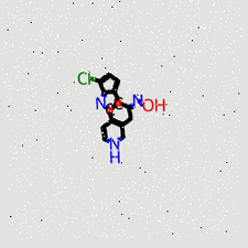 ON=C1CC2=C(C=CNC2)C23CCC12C1=CC=C(Cl)C1=N3